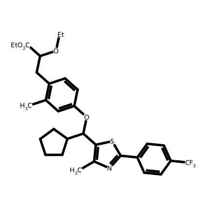 CCOC(=O)C(Cc1ccc(OC(c2sc(-c3ccc(C(F)(F)F)cc3)nc2C)C2CCCC2)cc1C)OCC